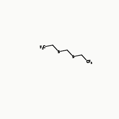 FC(F)(F)CSCSCC(F)(F)F